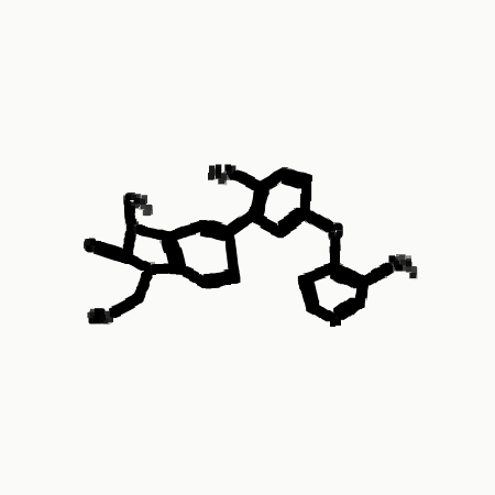 Cn1c(=O)n(CC(C)(C)C)c2ccc(-c3cc(Oc4ccncc4N)ccc3N)cc21